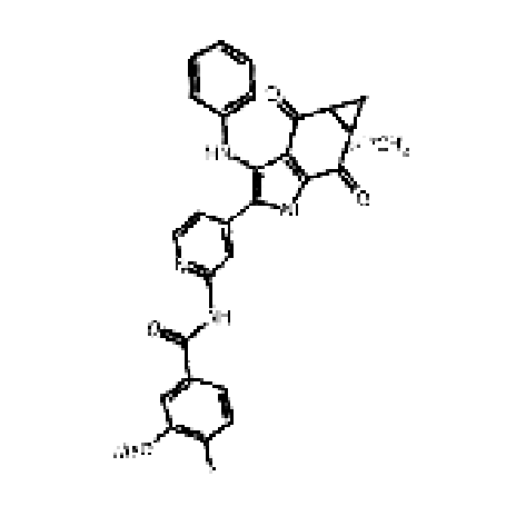 COc1cc(C(=O)Nc2cc(-c3[nH]c4c(c3Nc3ccccc3)C(=O)C3C[C@@]3(C)C4=O)ccn2)ccc1F